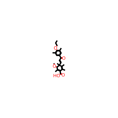 CCCOc1c(C)cc(C(=O)C=CC2(C)C(C)=C(C)C(C(=O)O)=C(C)C2OC)cc1C